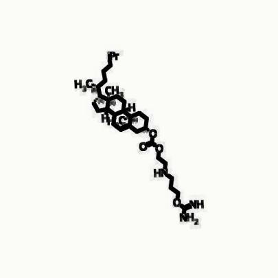 CC(C)CCC[C@@H](C)[C@H]1CC[C@H]2C3CC=C4C[C@@H](OC(=O)OCCNCCCOC(=N)N)CC[C@]4(C)[C@H]3CC[C@]12C